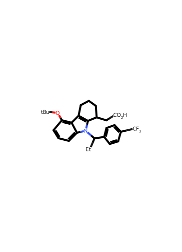 CCC(c1ccc(C(F)(F)F)cc1)n1c2c(c3c(OC(C)(C)C)cccc31)CCCC2CC(=O)O